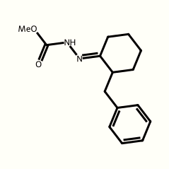 COC(=O)NN=C1CCCCC1Cc1ccccc1